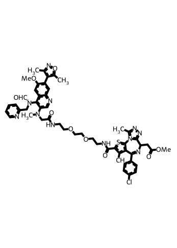 COC(=O)CC1N=C(c2ccc(Cl)cc2)c2c(sc(C(=O)NCCOCCOCCNC(=O)CN(C)c3cnc4cc(-c5c(C)noc5C)c(OC)cc4c3N(C=O)Cc3ccccn3)c2C)-n2c(C)nnc21